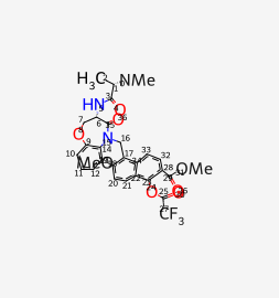 CN[C@@H](C)C(=O)N[C@H]1COc2ccccc2N(Cc2c(OC)ccc3c(OC(=O)C(F)(F)F)c(C(=O)OC)ccc23)C1=O